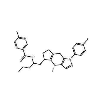 CCCC(C[C@H]1CCC2=C1[C@@H](C)c1cnn(-c3ccc(F)cc3)c1C2)NC(=O)c1cnc(C)cn1